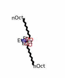 CCCCCCCCC=CCCCCCCCC(=O)OC(CC)(OC(=O)CCCCCCCC=CCCCCCCCC)[N+](CC)(CC)CC